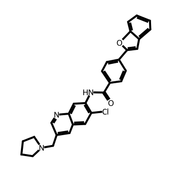 O=C(Nc1cc2ncc(CN3CCCC3)cc2cc1Cl)c1ccc(-c2cc3ccccc3o2)cc1